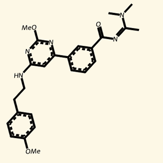 COc1ccc(CCNc2cc(-c3cccc(C(=O)N=C(C)N(C)C)c3)nc(OC)n2)cc1